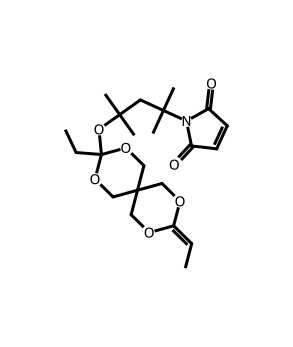 CC=C1OCC2(CO1)COC(CC)(OC(C)(C)CC(C)(C)N1C(=O)C=CC1=O)OC2